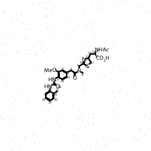 COc1cc(CC(=O)N(C)CC2=NC(CC(NC(C)=O)C(=O)O)CS2)ccc1NC(=O)Nc1ccccc1C